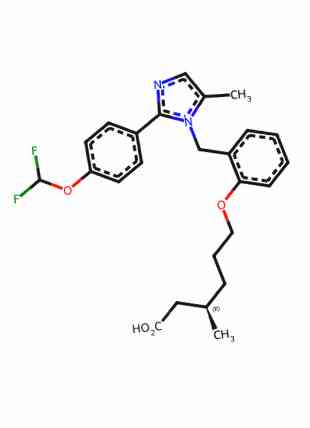 Cc1cnc(-c2ccc(OC(F)F)cc2)n1Cc1ccccc1OCCC[C@@H](C)CC(=O)O